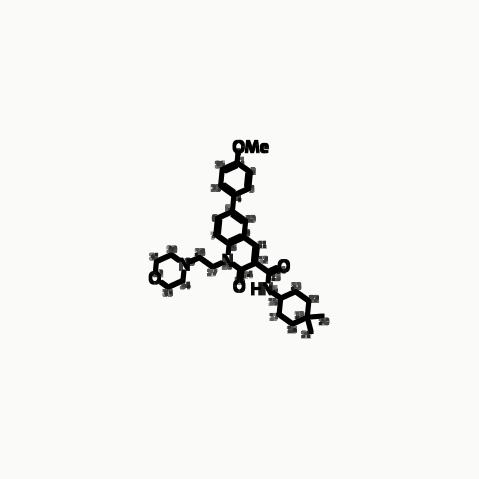 COc1ccc(-c2ccc3c(c2)cc(C(=O)NC2CCC(C)(C)CC2)c(=O)n3CCN2CCOCC2)cc1